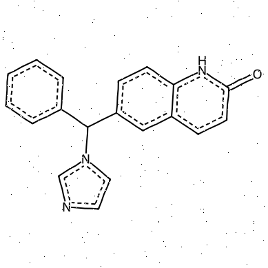 O=c1ccc2cc(C(c3ccccc3)n3ccnc3)ccc2[nH]1